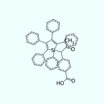 CC(=O)C(c1ccc(C(=O)O)cc1)[Si]1(c2ccccc2)C(c2ccccc2)=C(c2ccccc2)C(c2ccccc2)=C1c1ccccc1